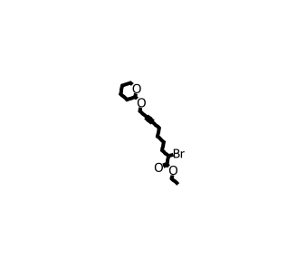 CCOC(=O)C(Br)CCCCC#CCOC1CCCCO1